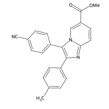 COC(=O)c1ccc2nc(-c3ccc(C)cc3)c(-c3ccc(C#N)cc3)n2c1